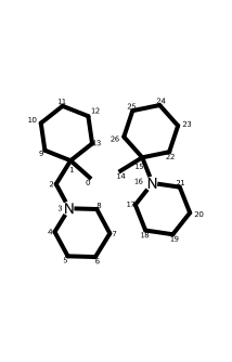 CC1(CN2CCCCC2)CCCCC1.CC1(N2CCCCC2)CCCCC1